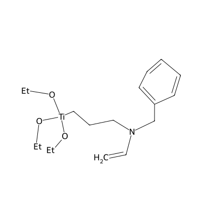 C=CN(CC[CH2][Ti]([O]CC)([O]CC)[O]CC)Cc1ccccc1